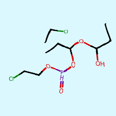 CCC(O)OC(CC)O[PH](=O)OCCCl.CCCl